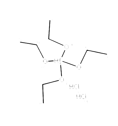 CC[O][Hf]([O]CC)([O]CC)[O]CC.Cl.Cl